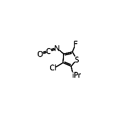 CC(C)c1sc(F)c(N=C=O)c1Cl